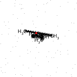 CCCCCCCCCCCCOCCCCCCCCCCCC.COc1cc(C(=O)OC(C)Oc2ccccc2)ccc1O